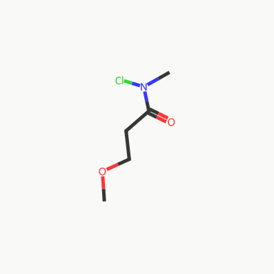 COCCC(=O)N(C)Cl